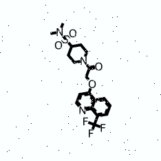 CN(C)S(=O)(=O)C1CCN(C(=O)COc2ccnc3c(C(F)(F)F)cccc23)CC1